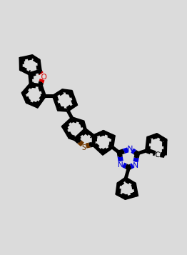 c1ccc(-c2nc(-c3ccccc3)nc(-c3ccc4c(c3)sc3ccc(-c5cccc(-c6cccc7c6oc6ccccc67)c5)cc34)n2)cc1